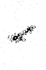 CC(C)C(=O)OCn1c(-c2ccc(F)c(C(F)(F)F)c2F)cs/c1=N\C(=O)Cc1csc2c1c(=O)n(C)c(=O)n2C